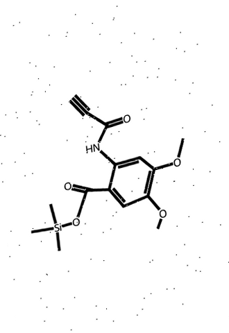 C#CC(=O)Nc1cc(OC)c(OC)cc1C(=O)O[Si](C)(C)C